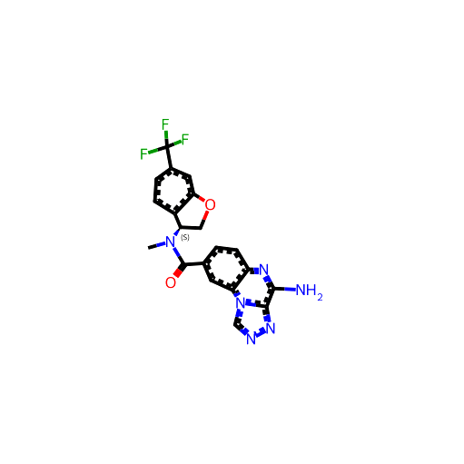 CN(C(=O)c1ccc2nc(N)c3nncn3c2c1)[C@@H]1COc2cc(C(F)(F)F)ccc21